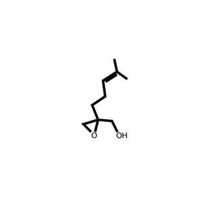 CC(C)=CCCC1(CO)CO1